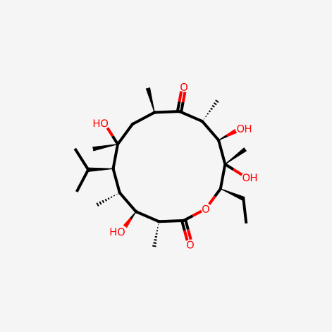 CC[C@H]1OC(=O)[C@H](C)[C@@H](O)[C@H](C)[C@@H](C(C)C)[C@](C)(O)C[C@@H](C)C(=O)[C@H](C)[C@@H](O)[C@]1(C)O